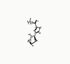 C=C(NC)C1=CC(c2ccnn2C)=CC1